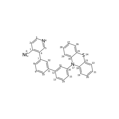 N#Cc1ccncc1-c1cccc(-c2cccc(N3c4ccccc4Sc4ccccc43)c2)c1